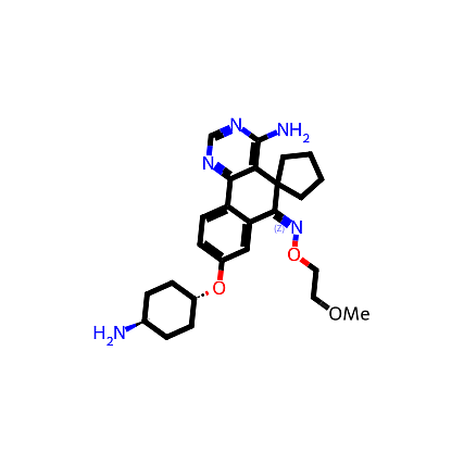 COCCO/N=C1\c2cc(O[C@H]3CC[C@H](N)CC3)ccc2-c2ncnc(N)c2C12CCCC2